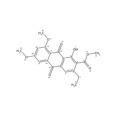 CCc1cc2c(c(O)c1C(=O)OC)C(=O)c1c(OC)cc(OC)cc1C2=O